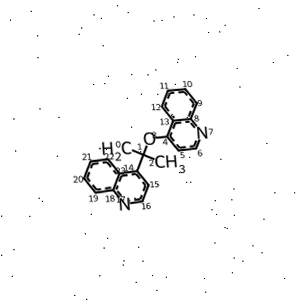 [CH2]C(C)(Oc1ccnc2ccccc12)c1ccnc2ccccc12